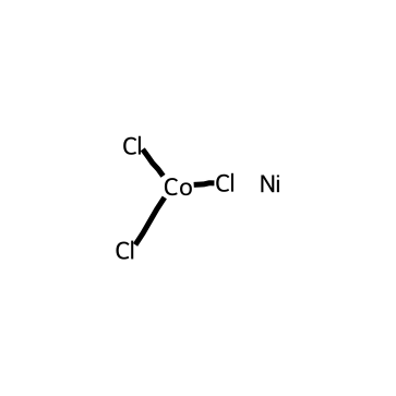 [Cl][Co]([Cl])[Cl].[Ni]